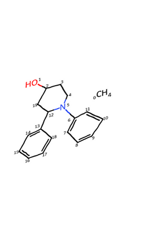 C.OC1CCN(c2ccccc2)C(c2ccccc2)C1